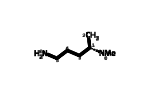 CN[C@@H](C)CCCN